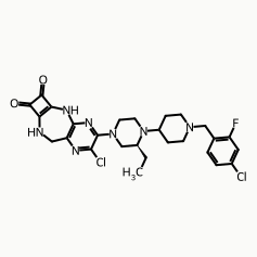 CC[C@H]1CN(c2nc3c(nc2Cl)CNc2c(c(=O)c2=O)N3)CCN1C1CCN(Cc2ccc(Cl)cc2F)CC1